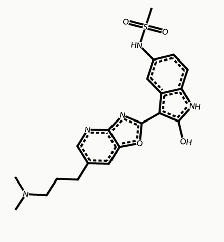 CN(C)CCCc1cnc2nc(-c3c(O)[nH]c4ccc(NS(C)(=O)=O)cc34)oc2c1